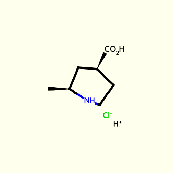 C[C@H]1C[C@@H](C(=O)O)CCN1.[Cl-].[H+]